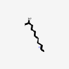 C/C=C/CCCCCCC(I)CC